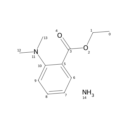 CCOC(=O)c1ccccc1N(C)C.N